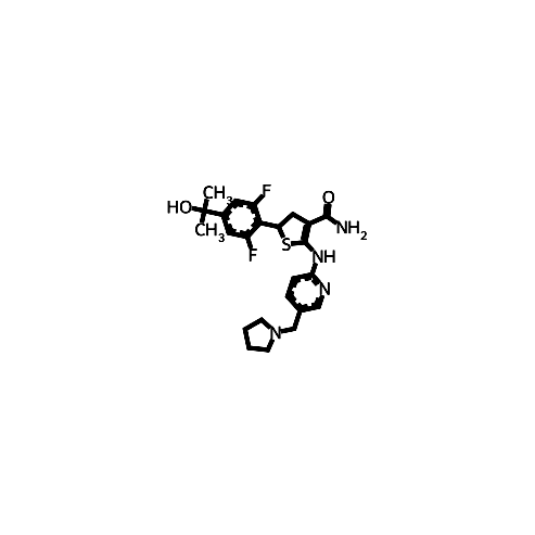 CC(C)(O)c1cc(F)c(C2CC(C(N)=O)=C(Nc3ccc(CN4CCCC4)cn3)S2)c(F)c1